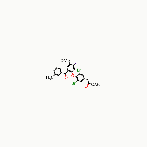 COC(=O)Cc1cc(Br)c(Oc2cc(I)c(OC)cc2C(=O)c2cccc(C)c2)c(Br)c1